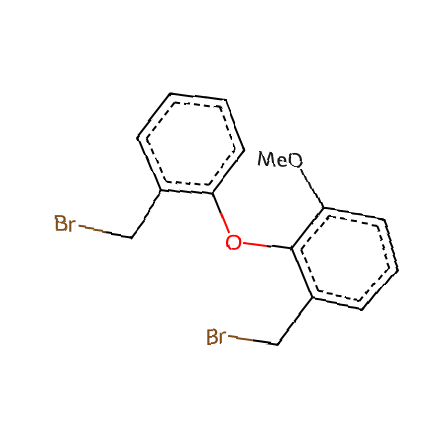 COc1cccc(CBr)c1Oc1ccccc1CBr